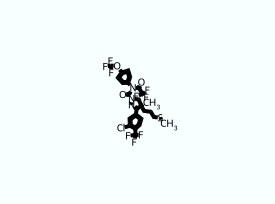 CSCCCC1(C)CN(C(=O)N(C(=O)C(F)(F)F)c2ccc(OC(F)(F)F)cc2)N=C1c1ccc(C(F)(F)F)c(Cl)c1